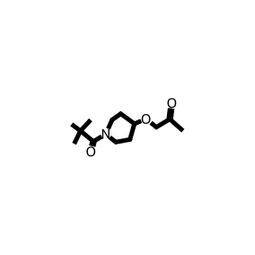 CC(=O)COC1CCN(C(=O)C(C)(C)C)CC1